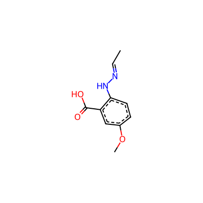 C/C=N/Nc1ccc(OC)cc1C(=O)O